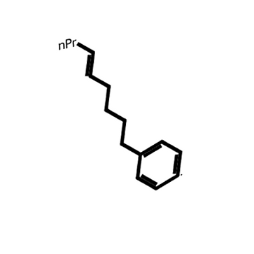 CCCC=CCCCCc1cc[c]cc1